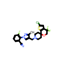 Cc1nn(-c2c(F)cccc2C#N)cc1CN1CCC2(CC1)OCC(F)(F)c1cc(Cl)sc12